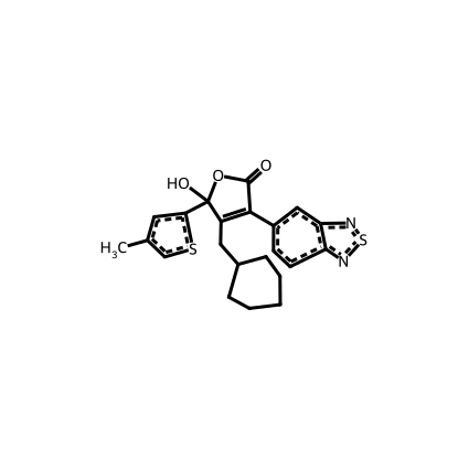 Cc1csc(C2(O)OC(=O)C(c3ccc4nsnc4c3)=C2CC2CCCCC2)c1